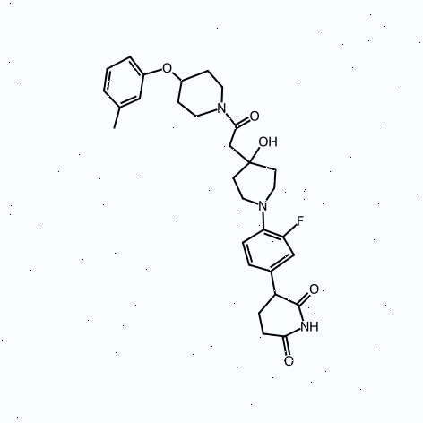 Cc1cccc(OC2CCN(C(=O)CC3(O)CCN(c4ccc(C5CCC(=O)NC5=O)cc4F)CC3)CC2)c1